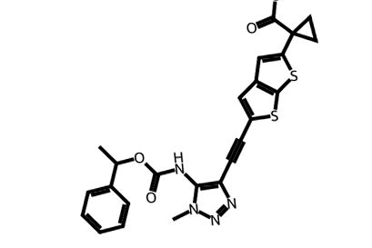 CC(OC(=O)Nc1c(C#Cc2cc3cc(C4(C(=O)O)CC4)sc3s2)nnn1C)c1ccccc1